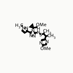 COCC1(n2c(NSC(C)C(C)c3cnc(OC)cn3)nnc2-c2ccn(C)n2)CC1